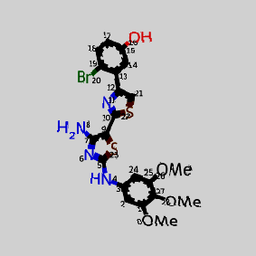 COc1cc(Nc2nc(N)c(-c3nc(-c4cc(O)ccc4Br)cs3)s2)cc(OC)c1OC